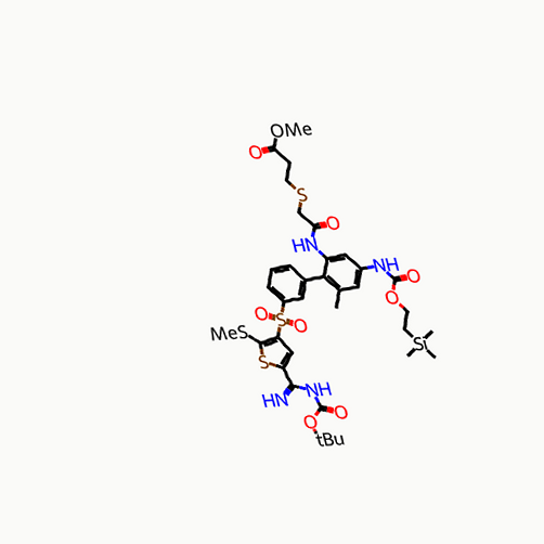 COC(=O)CCSCC(=O)Nc1cc(NC(=O)OCC[Si](C)(C)C)cc(C)c1-c1cccc(S(=O)(=O)c2cc(C(=N)NC(=O)OC(C)(C)C)sc2SC)c1